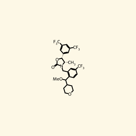 COC(c1ccc(C(F)(F)F)cc1CN1C(=O)O[C@H](c2cc(C(F)(F)F)cc(C(F)(F)F)c2)[C@@H]1C)C1CCOCC1